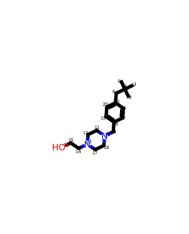 CC(C)(C)Cc1ccc(CN2CCN(CCO)CC2)cc1